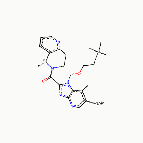 CNc1cnc2nc(C(=O)N3CCc4ncccc4[C@H]3C)n(COCC[Si](C)(C)C)c2c1C